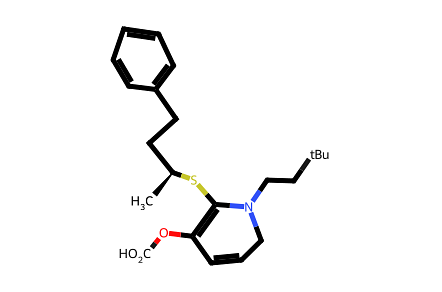 C[C@@H](CCc1ccccc1)SC1=C(OC(=O)O)C=CCN1CCC(C)(C)C